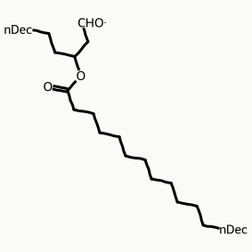 CCCCCCCCCCCCCCCCCCCCCC(=O)OC(C[C]=O)CCCCCCCCCCCC